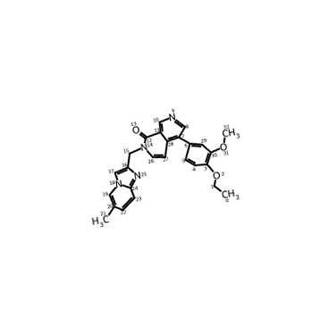 CCOc1ccc(-c2cncc3c(=O)n(Cc4cn5cc(C)ccc5n4)ccc23)cc1OC